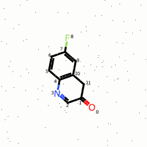 O=C1C=Nc2ccc(F)cc2C1